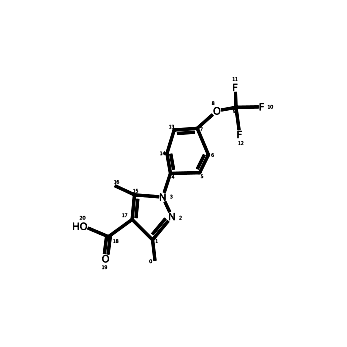 Cc1nn(-c2ccc(OC(F)(F)F)cc2)c(C)c1C(=O)O